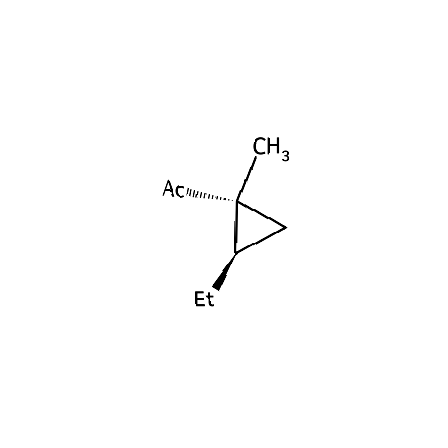 CC[C@@H]1C[C@@]1(C)C(C)=O